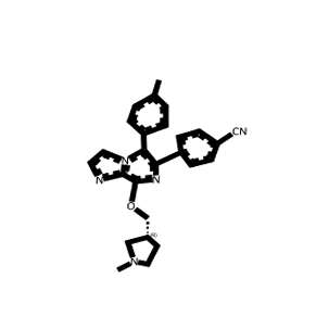 Cc1ccc(-c2c(-c3ccc(C#N)cc3)nc(OC[C@@H]3CCN(C)C3)c3nccn23)cc1